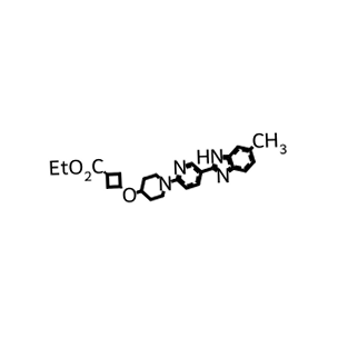 CCOC(=O)[C@H]1C[C@H](OC2CCN(c3ccc(-c4nc5ccc(C)cc5[nH]4)cn3)CC2)C1